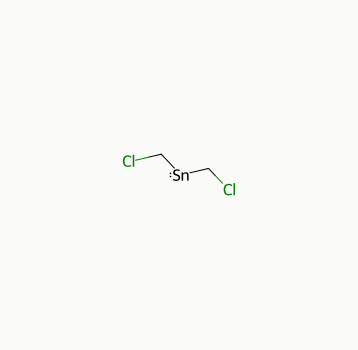 Cl[CH2][Sn][CH2]Cl